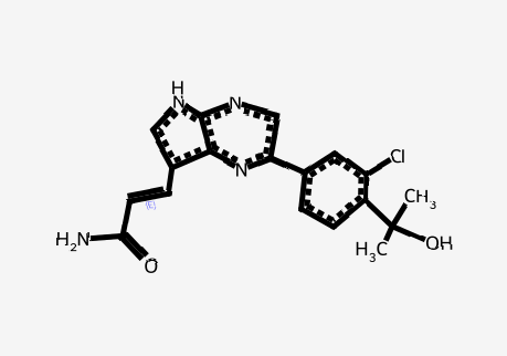 CC(C)(O)c1ccc(-c2cnc3[nH]cc(/C=C/C(N)=O)c3n2)cc1Cl